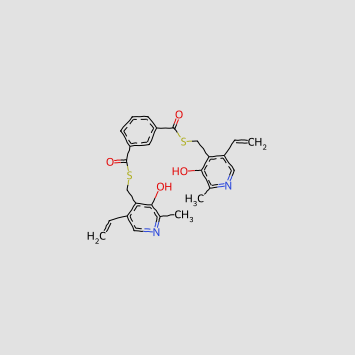 C=Cc1cnc(C)c(O)c1CSC(=O)c1cccc(C(=O)SCc2c(C=C)cnc(C)c2O)c1